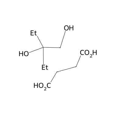 CCC(O)(CC)CO.O=C(O)CCC(=O)O